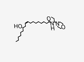 CCCCCC[C@@H](O)C/C=C\CCCCCCCC(=O)NC(CC)N1CCOCC1